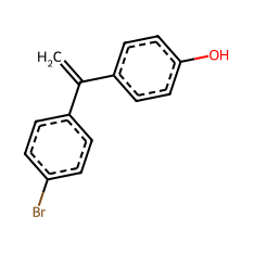 C=C(c1ccc(O)cc1)c1ccc(Br)cc1